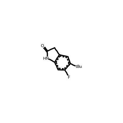 CC(C)(C)c1cc2c(cc1F)NC(=O)C2